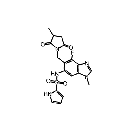 CC1CC(=O)N(Cc2c(NS(=O)(=O)c3ccc[nH]3)cc3c(ncn3C)c2F)C1=O